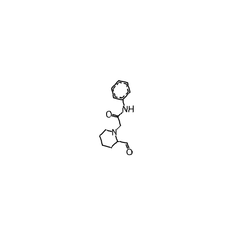 O=CC1CCCCN1CC(=O)Nc1ccccc1